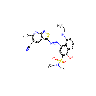 CCNc1cccc2c(O)c(S(=O)(=O)N(C)C)cc(/N=N/c3snc4nc(C)c(C#N)cc34)c12